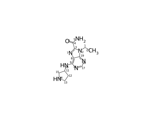 CCn1c(C(N)=O)nc2c(NC3CCNC3)ncnc21